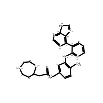 Cc1ccc(NC(=O)CC2CCNCCO2)cc1Nc1ncccc1-c1ncnc2[nH]cnc12